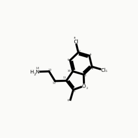 Cc1oc2c(Cl)cc(Cl)cc2c1CCN